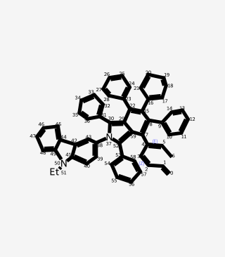 C=C/C=C\C(=C/C)c1c(-c2ccccc2)c(-c2ccccc2)c(-c2ccccc2)c2c(-c3ccccc3)n(-c3ccc4c(c3)c3ccccc3n4CC)c(-c3ccccc3)c12